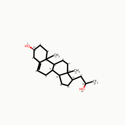 CC12CC[C@H](O)CC1=CCC1C2CCC2(C)C(CC(O)C(F)(F)F)CCC12